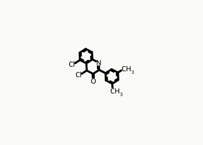 Cc1cc(C)cc(C2=Nc3cccc(Cl)c3C(Cl)C2=O)c1